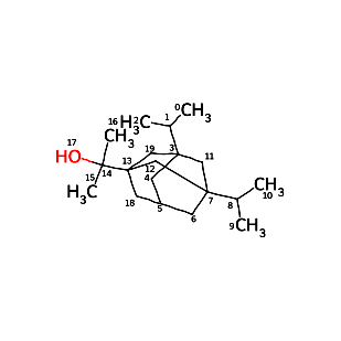 CC(C)C12CC3CC(C(C)C)(C1)CC(C(C)(C)O)(C3)C2